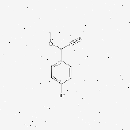 COC(C#N)c1ccc(Br)cc1